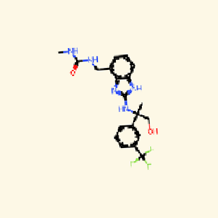 CNC(=O)NCc1cccc2[nH]c(NC(C)(CO)c3cccc(C(F)(F)F)c3)nc12